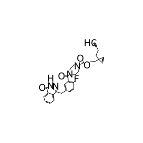 C#CCCC1(CCOC(=O)N2CCN(C(=O)c3cc(Cc4n[nH]c(=O)c5ccccc45)ccc3F)CC2)C=C1